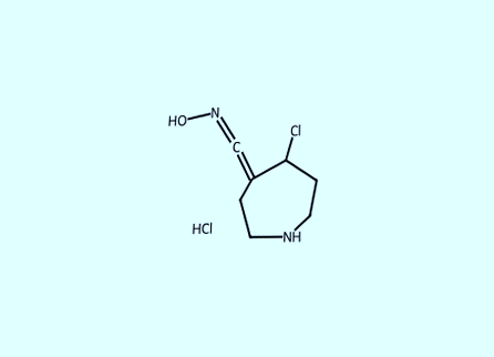 Cl.ON=C=C1CCNCCC1Cl